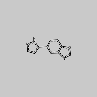 c1cc(-c2ccc3ocnc3c2)[nH]n1